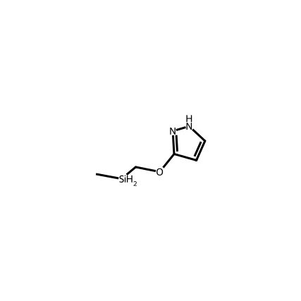 C[SiH2]COc1cc[nH]n1